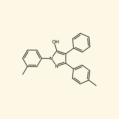 Cc1ccc(-c2nn(-c3cccc(C)c3)c(O)c2-c2ccccc2)cc1